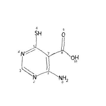 Nc1ncnc(S)c1C(=O)O